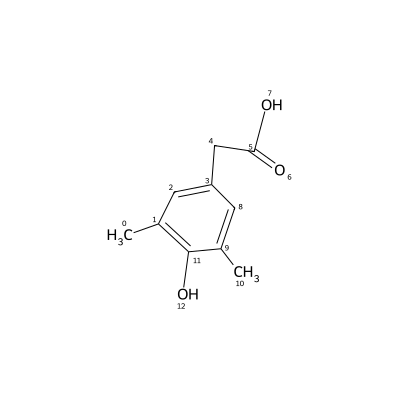 Cc1cc(CC(=O)O)cc(C)c1O